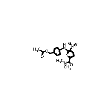 CC(=O)OCc1ccc(Nc2nc(C(=O)N(C)C)ccc2[N+](=O)[O-])cc1